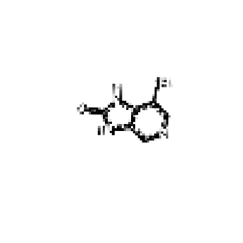 CC(C)(C)c1cncc2[nH]c(=O)[nH]c12